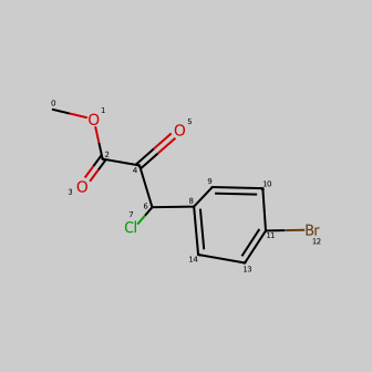 COC(=O)C(=O)C(Cl)c1ccc(Br)cc1